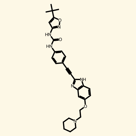 CC(C)(C)c1cc(NC(=O)Nc2ccc(C#Cc3nc4cc(OCCN5CCCCC5)ccc4[nH]3)cc2)no1